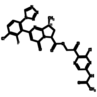 CC(=O)Nc1cnc(C(=O)COC(=O)C2C[C@@H](C)c3nc(-c4c(-n5cnnn5)ccc(Cl)c4F)cc(=O)n32)c(Cl)n1